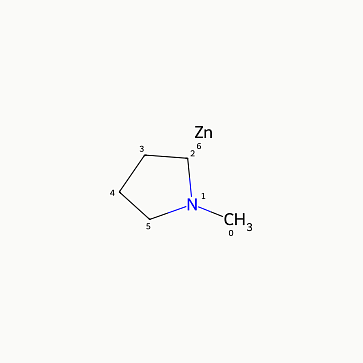 CN1CCCC1.[Zn]